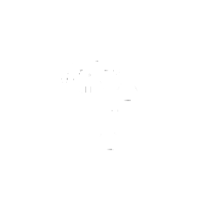 C[C@H]1C(=Cc2ccccc2OCc2ccccc2)C(=O)C=C2CCC[C@H](O)[C@]21C